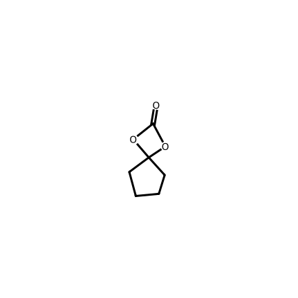 O=C1OC2(CCCC2)O1